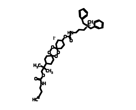 C#CCCNC(=O)OCC(C)(C)C1CCC2(CC1)OOC1(CCC(OC(=O)NCCC[N+](C)(Cc3ccccc3)Cc3ccccc3)CC1)OO2.[I-]